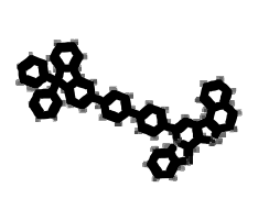 c1ccc(C2(c3ccccc3)c3ccccc3-c3cc(-c4ccc(-c5ccc(-c6cc7c(sc8ccc9ccccc9c87)c7nc8ccccc8n67)cc5)cc4)ccc32)cc1